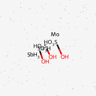 O=S(=O)(O)O.O=S(=O)(O)O.O=S(=O)(O)O.[Mo].[SbH3]